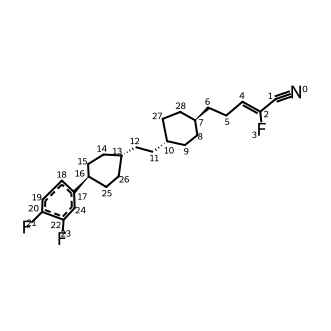 N#C/C(F)=C/CC[C@H]1CC[C@H](CC[C@H]2CC[C@H](c3ccc(F)c(F)c3)CC2)CC1